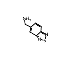 NCc1ccc2nsnc2c1